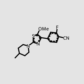 COc1sc(N2CCC(C)CC2)nc1-c1ccc(C#N)c(F)c1